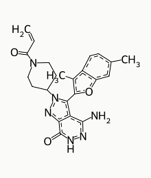 C=CC(=O)N1CCC(n2nc3c(=O)[nH]nc(N)c3c2-c2oc3cc(C)ccc3c2C)CC1